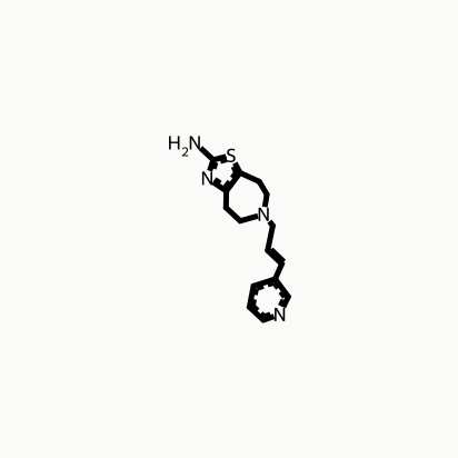 Nc1nc2c(s1)CCN(C/C=C/c1cccnc1)CC2